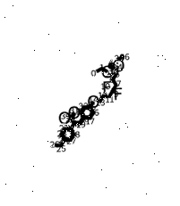 CCO[Si](C)(CCCC(F)(F)CCCOc1ccc2cc(-c3ccc(CC)cc3)c(=O)oc2c1)OCC